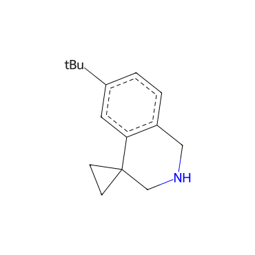 CC(C)(C)c1ccc2c(c1)C1(CC1)CNC2